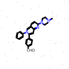 CN1CCN(C2C=CC3=CN(c4ccccc4)C(c4ccc(C=O)cc4)=CC3=N2)CC1